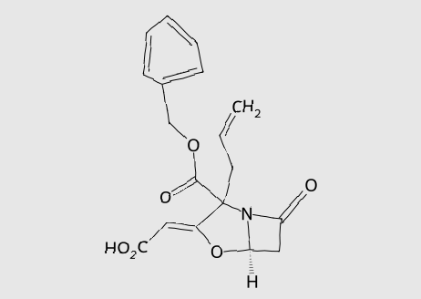 C=CCC1(C(=O)OCc2ccccc2)C(=CC(=O)O)O[C@@H]2CC(=O)N21